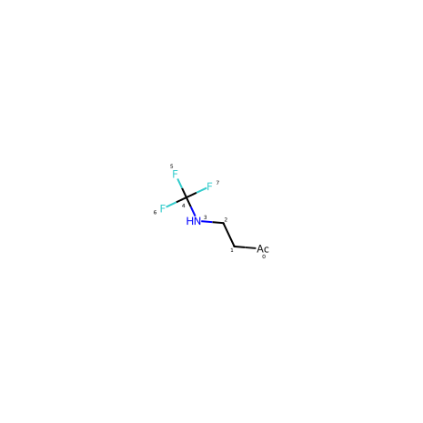 CC(=O)CCNC(F)(F)F